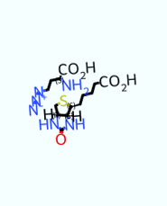 O=C(O)CCCC[C@@H]1SC[C@@H]2NC(=O)N[C@@H]21.[N-]=[N+]=NCC[C@H](N)C(=O)O